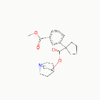 COC(=O)c1cccc(C2(C(=O)OC3CN4CCC3CC4)CCCC2)c1